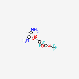 [CH2]c1cc(N)ccc1-c1ccc(N)cc1COC(=O)/C=C/c1ccc(C(F)(F)Oc2ccc(OCCCC(F)(F)F)cc2F)cc1